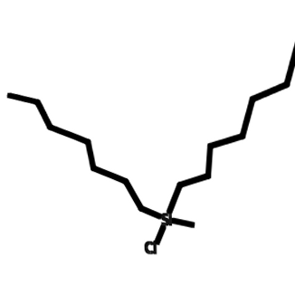 CCCCCCC[Si](C)(Cl)CCCCCCC